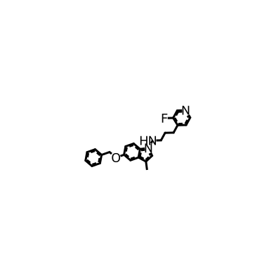 Cc1cn(NCCCc2ccncc2F)c2ccc(OCc3ccccc3)cc12